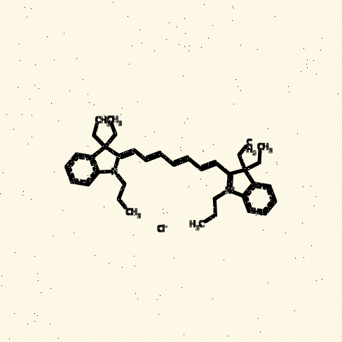 CCCN1\C(=C/C=C/C=C/C=C/C2=[N+](CCC)c3ccccc3C2(CC)CC)C(CC)(CC)c2ccccc21.[Cl-]